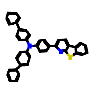 c1ccc(-c2ccc(N(c3ccc(-c4ccccc4)cc3)c3ccc(-c4ccc5c(n4)sc4ccccc45)cc3)cc2)cc1